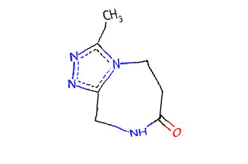 Cc1nnc2n1CCC(=O)NC2